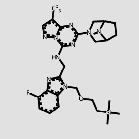 CN1C2CCC1CN(c1nc(NCc3nc4c(F)cccc4n3COCC[Si](C)(C)C)n3ncc(C(F)(F)F)c3n1)C2